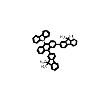 CC1(C)c2ccccc2-c2ccc(-c3ccc4c(-n5c6ccccc6c6ccccc65)c5ccccc5c(-c5ccc6c(c5)C(C)(C)c5ccccc5-6)c4c3)cc21